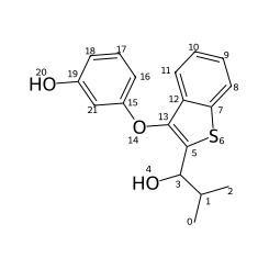 CC(C)C(O)c1sc2ccccc2c1Oc1cccc(O)c1